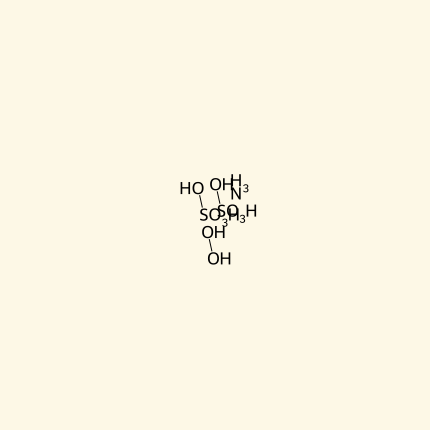 N.O=S(=O)(O)O.O=S(=O)(O)O.OO